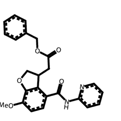 COc1ccc(C(=O)Nc2ccccn2)c2c1OCC2CC(=O)OCc1ccccc1